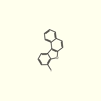 Ic1cccc2c1oc1ccc3ccccc3c12